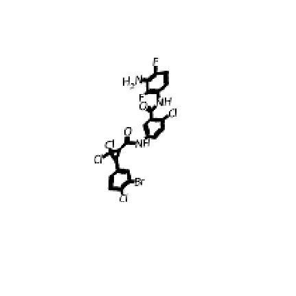 Nc1c(F)ccc(NC(=O)c2cc(NC(=O)C3C(c4ccc(Cl)c(Br)c4)C3(Cl)Cl)ccc2Cl)c1F